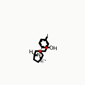 C[C@@]12CC[C@@H](C[C@H](c3ccc(I)cc3)C1)N2CCCO